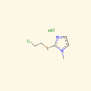 Cl.Cn1ccnc1SCCCl